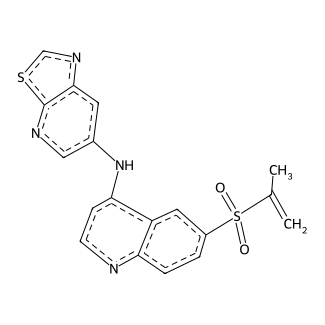 C=C(C)S(=O)(=O)c1ccc2nccc(Nc3cnc4scnc4c3)c2c1